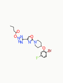 CCCC(=O)On1nnc(-c2coc(N3CCC(Oc4cc(F)ccc4Br)CC3)n2)n1